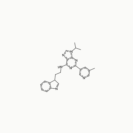 Cc1cncc(-c2nc(NCCC3C=Nc4ccccc43)c3ncn(C(C)C)c3n2)c1